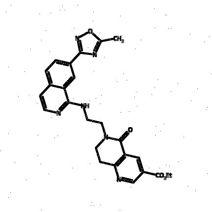 CCOC(=O)c1cnc2c(c1)C(=O)N(CCNc1nccc3ccc(-c4noc(C)n4)cc13)CC2